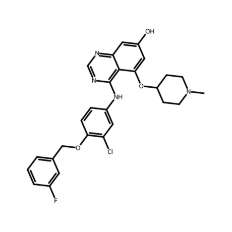 CN1CCC(Oc2cc(O)cc3ncnc(Nc4ccc(OCc5cccc(F)c5)c(Cl)c4)c23)CC1